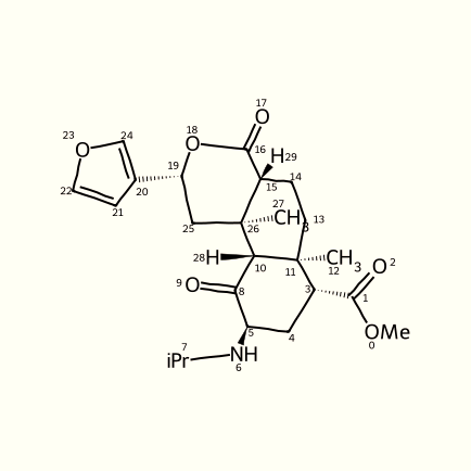 COC(=O)[C@@H]1C[C@@H](NC(C)C)C(=O)[C@H]2[C@@]1(C)CC[C@H]1C(=O)O[C@@H](c3ccoc3)C[C@]21C